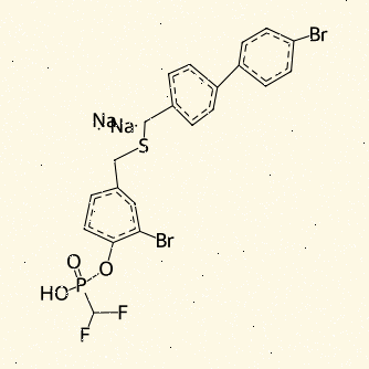 O=P(O)(Oc1ccc(CSCc2ccc(-c3ccc(Br)cc3)cc2)cc1Br)C(F)F.[Na].[Na]